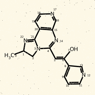 CC1CN2C(/C=C(\O)c3cccnc3)=Nc3cnccc3C2=N1